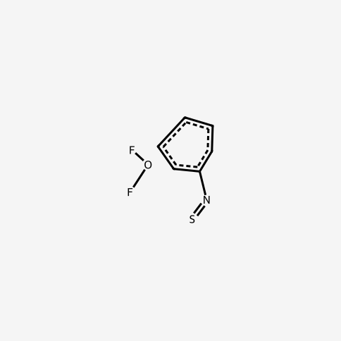 FOF.S=Nc1ccccc1